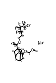 COCOC12CC3CC(C1)CC(C(=O)OCCC(F)(F)C(F)(F)S(=O)(=O)[O-])(C3)C2.[Na+]